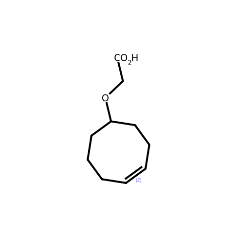 O=C(O)COC1CC/C=C\CCC1